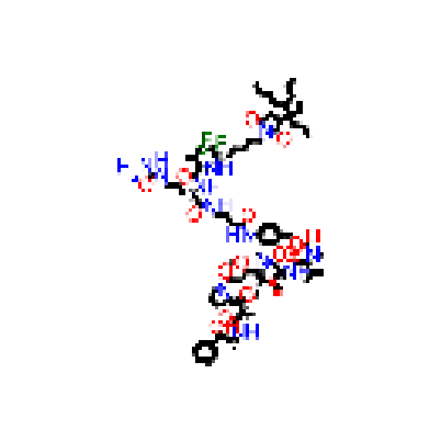 C=CC(CCC)(C(CCC)CCCC)C1CC(=O)N(CCCCC[C@H](N[C@H](C(=O)N[C@@H](CCCNC(N)=O)C(=O)NCCCC(=O)Nc2ccc(COC(=O)N(C)[C@H](C(=O)N[C@@H](C(C)C)C(O)N(C)[C@@H]([C@@H](C)CC)[C@@H](CC(=O)N3CCC[C@H]3[C@H](OC)[C@@H](C)C(=O)N[C@H](C)[C@@H](O)c3ccccc3)OC)C(C)C)cc2)C(C)C)C(F)(F)F)C1=O